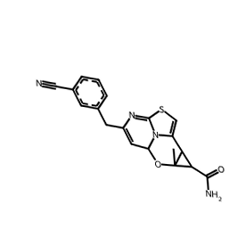 CC12OC3C=C(Cc4cccc(C#N)c4)N=C4SC=C(C1C2C(N)=O)N43